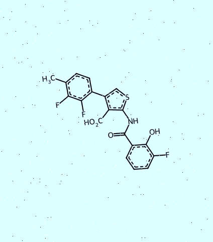 Cc1ccc(-c2csc(NC(=O)c3cccc(F)c3O)c2C(=O)O)c(F)c1F